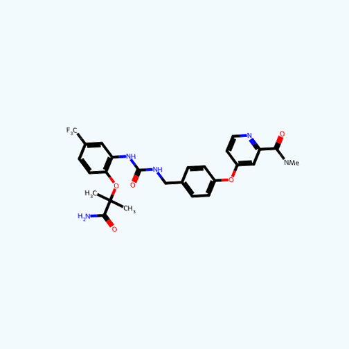 CNC(=O)c1cc(Oc2ccc(CNC(=O)Nc3cc(C(F)(F)F)ccc3OC(C)(C)C(N)=O)cc2)ccn1